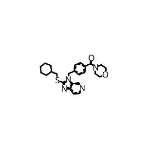 O=C(c1ccc(Cn2c(SCC3CCCCC3)nc3ccncc32)cc1)N1CCOCC1